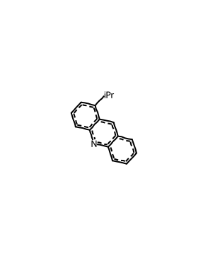 [CH2]C(C)c1cccc2nc3ccccc3cc12